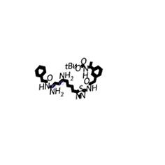 CC(NC(=O)OC(C)(C)C)c1cccc(CC(=O)Nc2nnc(CCCC/C(N)=C/C=C(\N)NC(=O)Cc3ccccc3)s2)c1